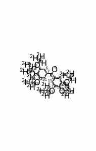 [2H]C([2H])([2H])Oc1cc(C(=O)c2cc(OC([2H])([2H])[2H])c(OC([2H])([2H])[2H])c(OC([2H])([2H])[2H])c2)cc(OC([2H])([2H])[2H])c1OC([2H])([2H])[2H]